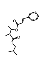 CC(C)COC(=O)C(C)C(C)OC(=O)C=Cc1ccccc1